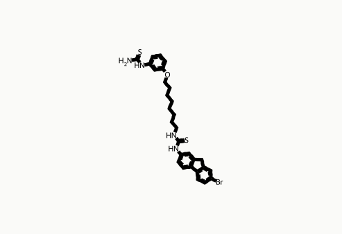 NC(=S)Nc1cccc(OCCCCCCCCNC(=S)Nc2ccc3c(c2)Cc2cc(Br)ccc2-3)c1